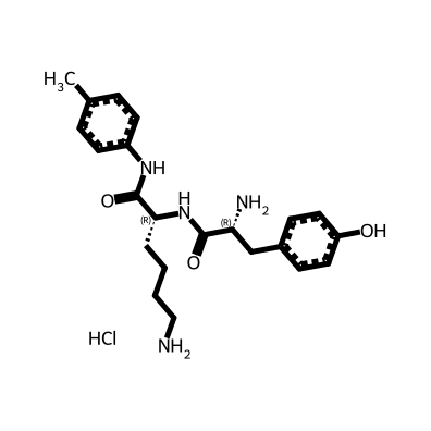 Cc1ccc(NC(=O)[C@@H](CCCCN)NC(=O)[C@H](N)Cc2ccc(O)cc2)cc1.Cl